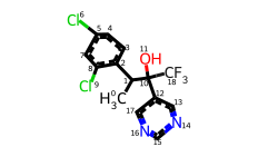 CC(c1ccc(Cl)cc1Cl)C(O)(c1cncnc1)C(F)(F)F